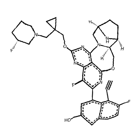 C#Cc1c(F)ccc2cc(O)cc(-c3nc4c5c(nc(OCC6(CN7CCC[C@@H](F)C7)CC6)nc5c3F)N3C[C@H]5CC[C@H](N5)[C@H]3CO4)c12